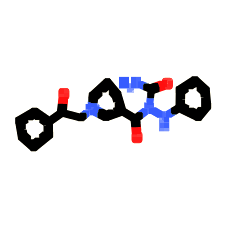 NC(=O)N(Nc1ccccc1)C(=O)c1ccc[n+](CC(=O)c2ccccc2)c1